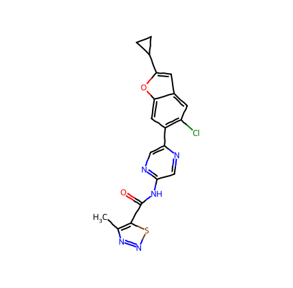 Cc1nnsc1C(=O)Nc1cnc(-c2cc3oc(C4CC4)cc3cc2Cl)cn1